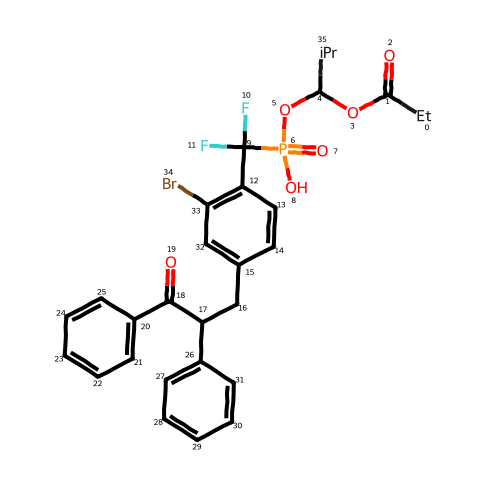 CCC(=O)OC(OP(=O)(O)C(F)(F)c1ccc(CC(C(=O)c2ccccc2)c2ccccc2)cc1Br)C(C)C